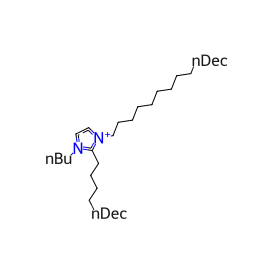 CCCCCCCCCCCCCCCCCCC[n+]1ccn(CCCC)c1CCCCCCCCCCCCCC